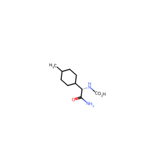 CC1CCC([C@H](NC(=O)O)C(N)=O)CC1